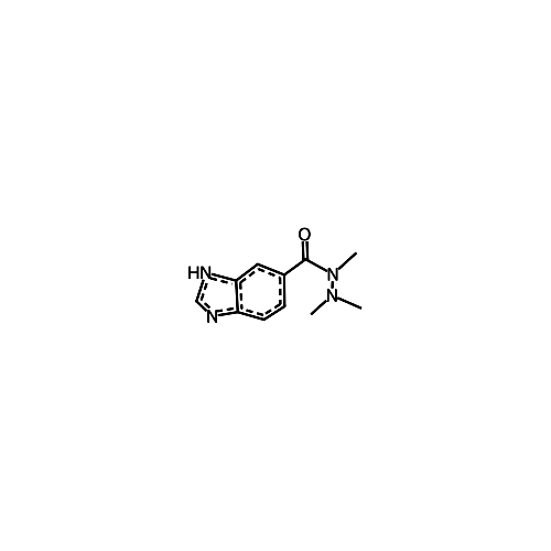 CN(C)N(C)C(=O)c1ccc2nc[nH]c2c1